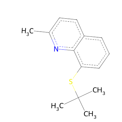 Cc1ccc2cccc(SC(C)(C)C)c2n1